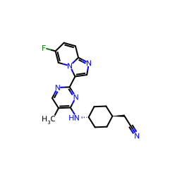 Cc1cnc(-c2cnc3ccc(F)cn23)nc1N[C@H]1CC[C@H](CC#N)CC1